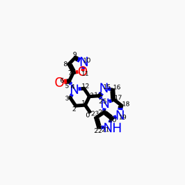 CC1CCN(C(=O)c2ccno2)CC1c1ncc2cnc3[nH]ccc3n12